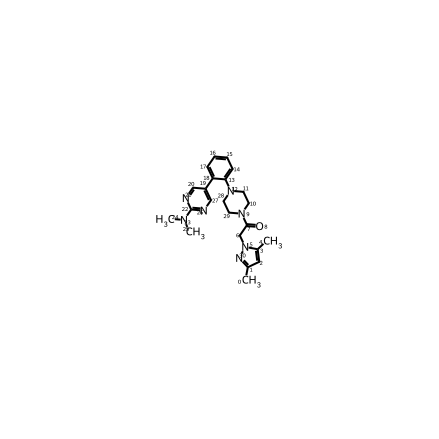 Cc1cc(C)n(CC(=O)N2CCN(c3ccccc3-c3cnc(N(C)C)nc3)CC2)n1